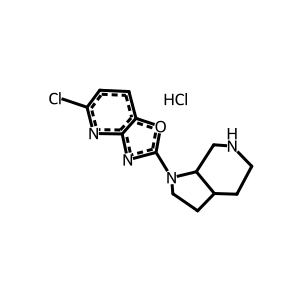 Cl.Clc1ccc2oc(N3CCC4CCNCC43)nc2n1